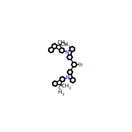 CC1(C)c2ccccc2-c2ccc(-n3c4ccccc4c4cc(-c5cc(Br)cc(-c6ccc7c(c6)c6ccccc6n7-c6ccc7c(c6)C(C)(C)c6ccc8ccccc8c6-7)c5)ccc43)cc21